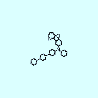 c1ccc(-c2ccc(-c3ccc(N(c4ccccc4)c4ccc5oc6cccnc6c5c4)cc3)cc2)cc1